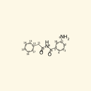 Nc1c[c]cc(C(=O)NC(=O)Cc2ccccc2)c1